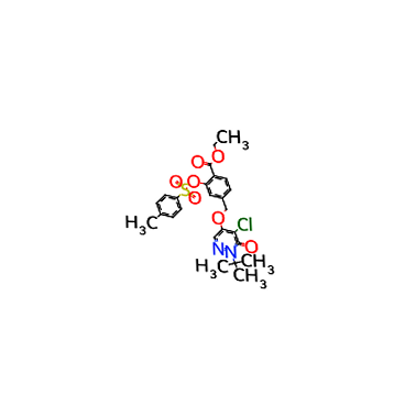 CCOC(=O)c1ccc(COc2cnn(C(C)(C)C)c(=O)c2Cl)cc1OS(=O)(=O)c1ccc(C)cc1